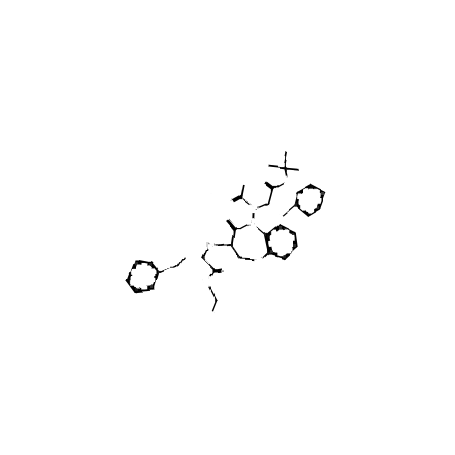 CCOC(=O)[C@H](CCc1ccccc1)NC1CSc2ccccc2N(N(C(C)=O)[C@@H](Cc2ccccc2)C(=O)OC(C)(C)C)C1=O.Cl